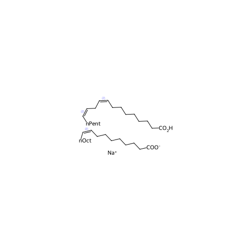 CCCCC/C=C\C/C=C\CCCCCCCC(=O)O.CCCCCCCC/C=C\CCCCCCCC(=O)[O-].[Na+]